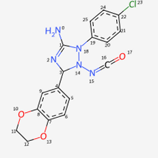 NC1=NC(c2ccc3c(c2)OCCO3)N(N=C=O)N1c1ccc(Cl)cc1